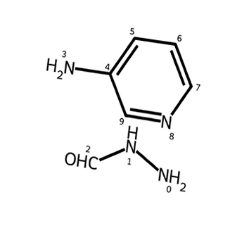 NNC=O.Nc1cccnc1